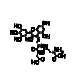 N[C@@H](CCC(=O)N[C@@H](CS[C@H]1c2c(O)cc(O)cc2O[C@H](c2cc(O)c(O)c(O)c2)[C@@H]1O)C(=O)NCC(=O)O)C(=O)O